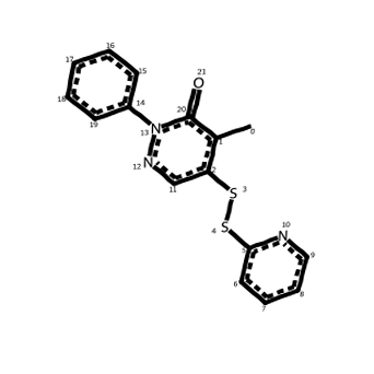 Cc1c(SSc2ccccn2)cnn(-c2ccccc2)c1=O